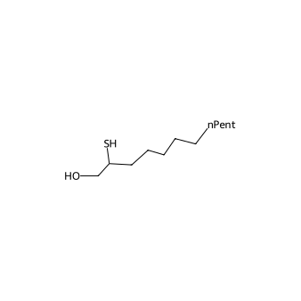 CCCCCCCCCCC(S)CO